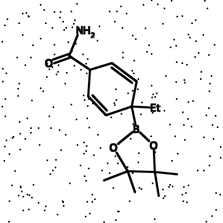 CCC1(B2OC(C)(C)C(C)(C)O2)C=CC(C(N)=O)C=C1